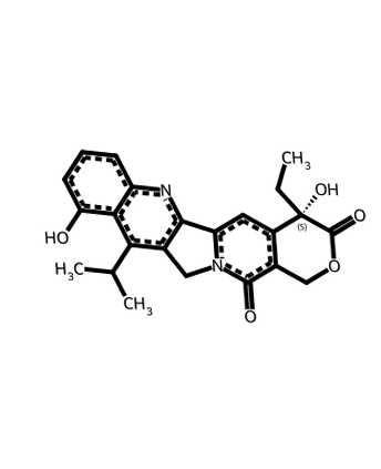 CC[C@@]1(O)C(=O)OCc2c1cc1n(c2=O)Cc2c-1nc1cccc(O)c1c2C(C)C